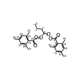 [CH2]CC[C](OOC(=O)c1c(C)cc(C)cc1C)OOC(=O)c1c(C)cc(C)cc1C